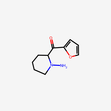 NN1CCCCC1C(=O)c1ccco1